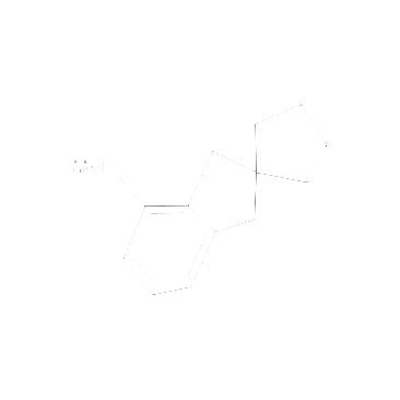 COc1cccc2c1CC1(CCCC1)C2